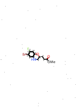 COC(=O)CC[C@H]1CNc2cc(Br)c(F)cc2O1